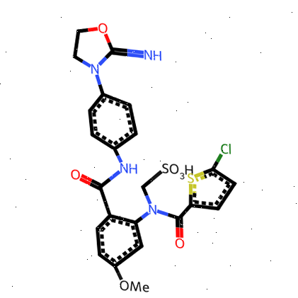 COc1ccc(C(=O)Nc2ccc(N3CCOC3=N)cc2)c(N(CS(=O)(=O)O)C(=O)c2ccc(Cl)s2)c1